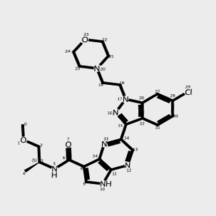 COC[C@H](C)NC(=O)c1c[nH]c2ncc(-c3nn(CCN4CCOCC4)c4cc(Cl)ccc34)nc12